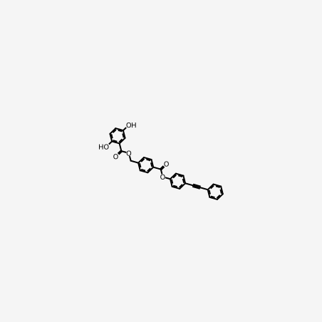 O=C(Oc1ccc(C#Cc2ccccc2)cc1)c1ccc(COC(=O)c2cc(O)ccc2O)cc1